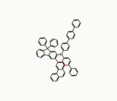 c1ccc(-c2ccc(-c3ccc(N(c4ccc(-c5ccccc5)cc4)c4cc5c(cc4-c4ccc6ccc7ccccc7c6c4)-c4ccccc4C5(c4ccccc4)c4ccccc4)cc3)cc2)cc1